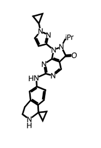 CC(C)n1c(=O)c2cnc(Nc3ccc4c(c3)CCNC43CC3)nc2n1-c1ccn(C2CC2)n1